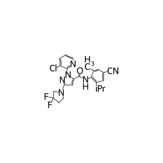 Cc1cc(C#N)cc(C(C)C)c1NC(=O)c1cc(N2CCC(F)(F)C2)nn1-c1ncccc1Cl